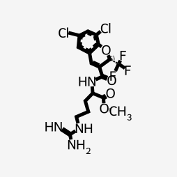 COC(=O)C(CCCNC(=N)N)NC(=O)C1=Cc2cc(Cl)cc(Cl)c2O[C@@H]1C(F)(F)F